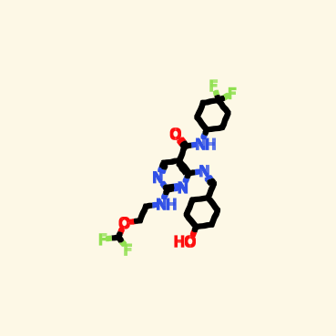 O=C(NC1CCC(F)(F)CC1)c1cnc(NCCOC(F)F)nc1/N=C\C1CCC(O)CC1